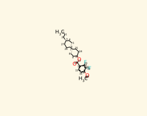 CCC[C@H]1CC[C@H]([C@H]2CC[C@H](OC(=O)c3ccc(OC)c(F)c3F)CC2)CC1